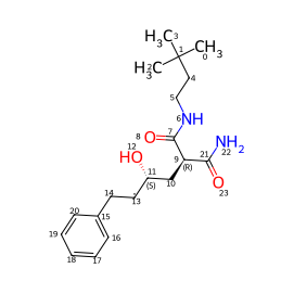 CC(C)(C)CCNC(=O)[C@H](C[C@@H](O)[CH]Cc1ccccc1)C(N)=O